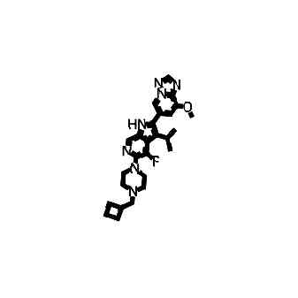 COc1cc(-c2[nH]c3cnc(N4CCN(CC5CCC5)CC4)c(F)c3c2C(C)C)cn2ncnc12